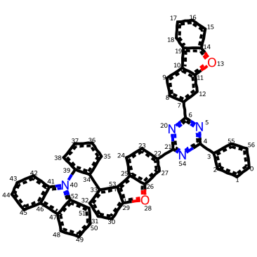 c1ccc(-c2nc(-c3ccc4c(c3)oc3ccccc34)nc(-c3ccc4c(c3)oc3cccc(-c5ccccc5-n5c6ccccc6c6ccccc65)c34)n2)cc1